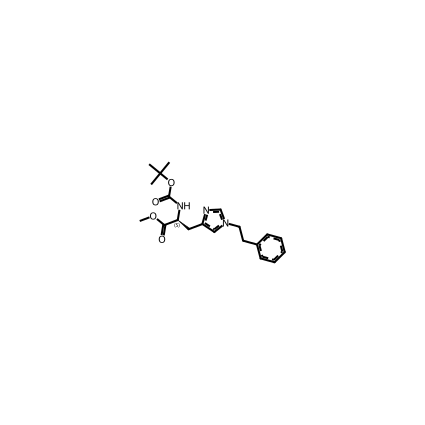 COC(=O)[C@H](Cc1cn(CCc2ccccc2)cn1)NC(=O)OC(C)(C)C